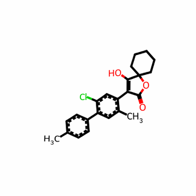 Cc1ccc(-c2cc(C)c(C3=C(O)C4(CCCCC4)OC3=O)cc2Cl)cc1